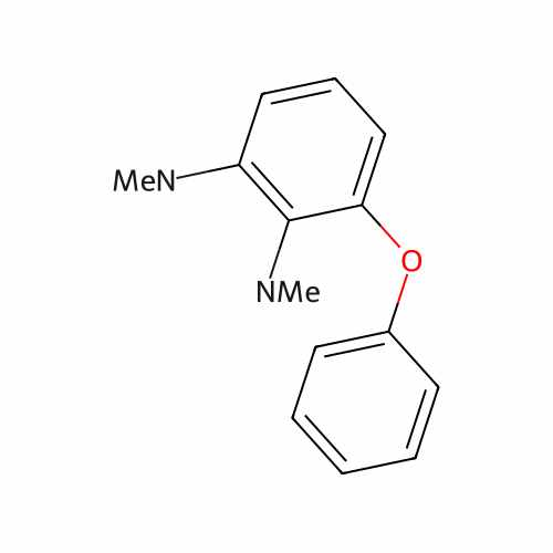 CNc1cccc(Oc2ccccc2)c1NC